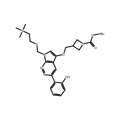 CC(C)(C)OC(=O)N1CC(COc2cn(COCC[Si](C)(C)C)c3nnc(-c4ccccc4O)cc23)C1